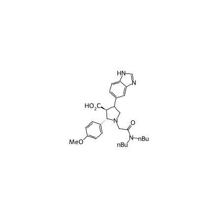 CCCCN(CCCC)C(=O)CN1CC(c2ccc3[nH]cnc3c2)[C@H](C(=O)O)[C@H]1c1ccc(OC)cc1